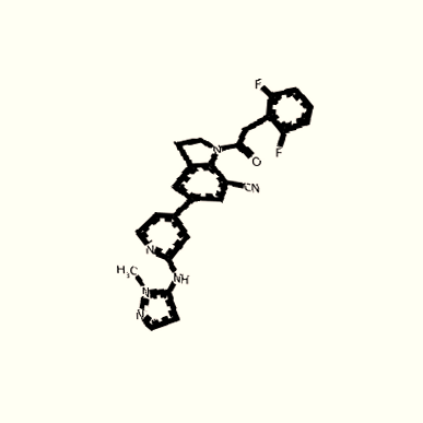 Cn1nccc1Nc1cc(-c2cc(C#N)c3c(c2)CCN3C(=O)Cc2c(F)cccc2F)ccn1